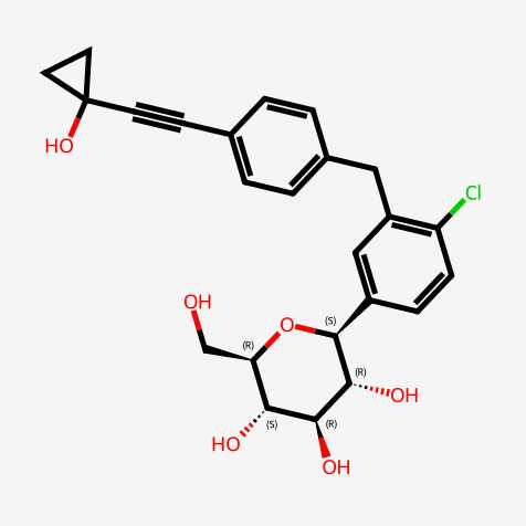 OC[C@H]1O[C@@H](c2ccc(Cl)c(Cc3ccc(C#CC4(O)CC4)cc3)c2)[C@H](O)[C@@H](O)[C@@H]1O